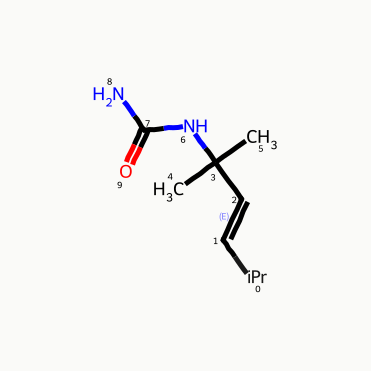 CC(C)/C=C/C(C)(C)NC(N)=O